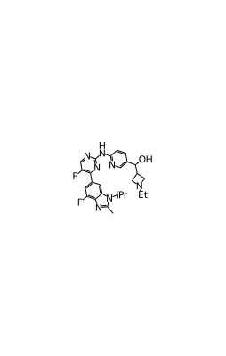 CCN1CC([C@H](O)c2ccc(Nc3ncc(F)c(-c4cc(F)c5nc(C)n(C(C)C)c5c4)n3)nc2)C1